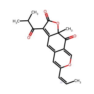 C/C=C\C1=CC2=CC3=C(C(=O)C(C)C)C(=O)OC3(C)C(=O)C2=CO1